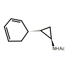 CC(=O)N[C@@H]1CC1[C@H]1C=CC=CC1